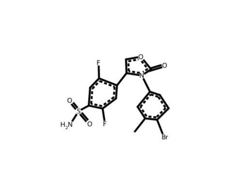 Cc1cc(-n2c(-c3cc(F)c(S(N)(=O)=O)cc3F)coc2=O)ccc1Br